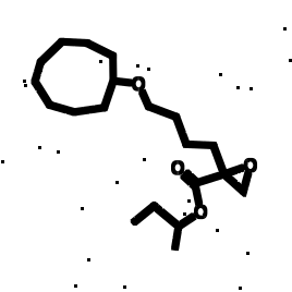 CCC(C)OC(=O)C1(CCCCOC2CCCCCCCC2)CO1